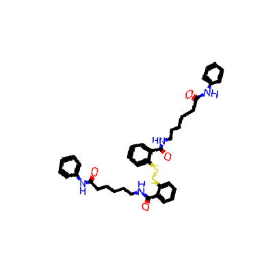 O=C(CCCCCNC(=O)c1ccccc1SSc1ccccc1C(=O)NCCCCCC(=O)Nc1ccccc1)Nc1ccccc1